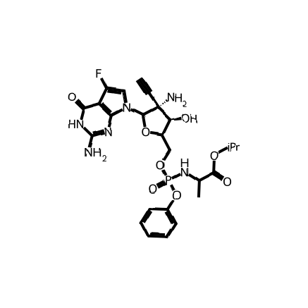 C#C[C@]1(N)C(n2cc(F)c3c(=O)[nH]c(N)nc32)OC(COP(=O)(NC(C)C(=O)OC(C)C)Oc2ccccc2)[C@@H]1O